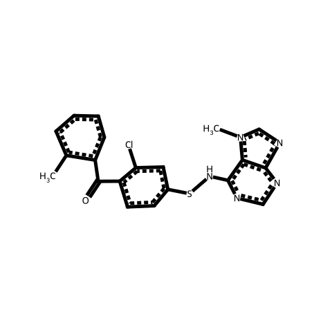 Cc1ccccc1C(=O)c1ccc(SNc2ncnc3ncn(C)c23)cc1Cl